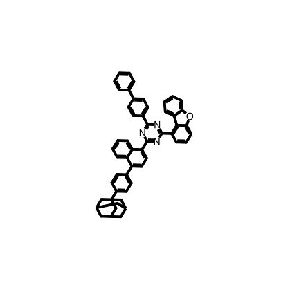 c1ccc(-c2ccc(-c3nc(-c4ccc(-c5ccc(C67CC8CC(CC(C8)C6)C7)cc5)c5ccccc45)nc(-c4cccc5oc6ccccc6c45)n3)cc2)cc1